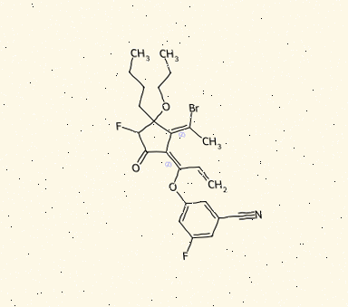 C=C/C(Oc1cc(F)cc(C#N)c1)=C1/C(=O)C(F)C(CCCC)(OCCC)/C1=C(/C)Br